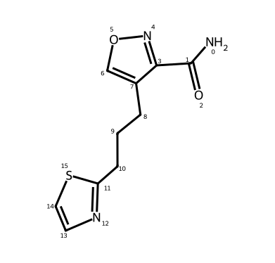 NC(=O)c1nocc1CCCc1nccs1